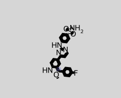 CO/C(=C1/C=C(c2ccnc(Nc3ccc(S(N)(=O)=O)cc3)n2)C=CC1=N)c1ccc(F)cc1